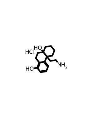 Cl.NCCC12CCCCC1(O)CCc1c(O)cccc12